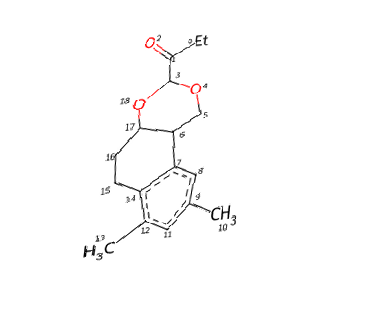 CCC(=O)C1OCC2c3cc(C)cc(C)c3CCC2O1